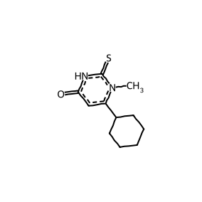 Cn1c(C2CCCCC2)cc(=O)[nH]c1=S